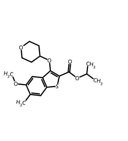 COc1cc2c(OC3CCOCC3)c(C(=O)OC(C)C)sc2cc1C